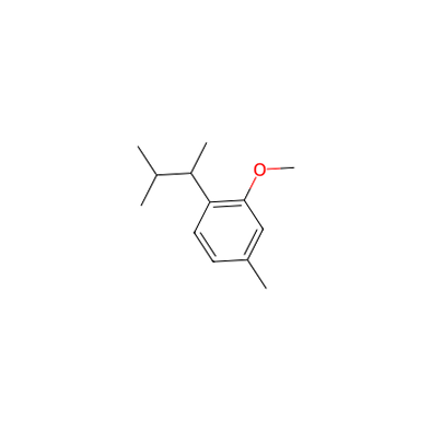 COc1cc(C)ccc1C(C)C(C)C